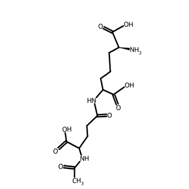 CC(=O)NC(CCC(=O)NC(CCC[C@H](N)C(=O)O)C(=O)O)C(=O)O